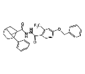 O=C(NNC(=O)C1CC2CCC1(c1ccccc1)CC2)c1ccc(OCc2ccccc2)cc1C(F)(F)F